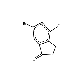 O=C1CCc2c(F)cc(Br)cc21